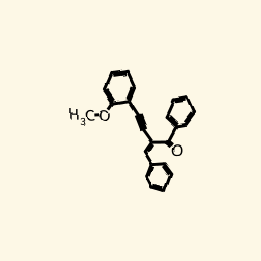 COc1ccccc1C#CC(=Cc1ccccc1)C(=O)c1ccccc1